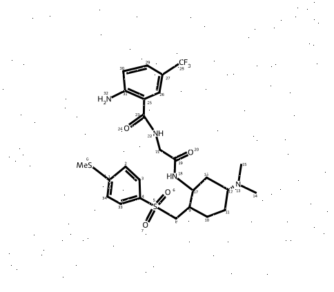 CSc1ccc(S(=O)(=O)CC2CC[C@@H](N(C)C)CC2NC(=O)CNC(=O)c2cc(C(F)(F)F)ccc2N)cc1